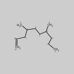 [CH2]CCC(C)CCC(C)C[C]=C